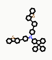 c1ccc(C2(c3ccccc3)c3ccccc3-c3cc(N(c4ccc(-c5cccc(-c6cccc7c6sc6ccccc67)c5)cc4)c4ccc(-c5ccc6c(c5)sc5ccccc56)cc4)ccc32)cc1